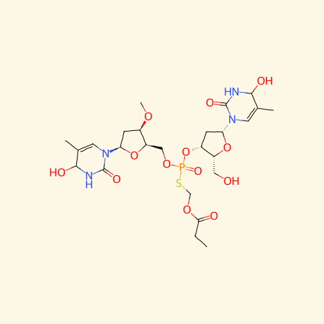 CCC(=O)OCSP(=O)(OC[C@H]1O[C@@H](N2C=C(C)C(O)NC2=O)C[C@H]1OC)O[C@@H]1C[C@H](N2C=C(C)C(O)NC2=O)O[C@@H]1CO